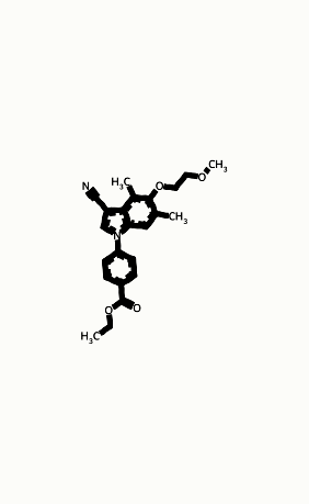 CCOC(=O)c1ccc(-n2cc(C#N)c3c(C)c(OCCOC)c(C)cc32)cc1